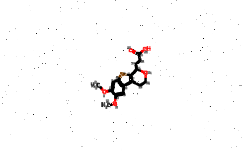 COc1cc2sc3c(c2cc1OC)CCOC3CCC(=O)O